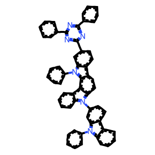 c1ccc(-c2nc(-c3ccccc3)nc(-c3ccc4c5ccc6c(c7ccccc7n6-c6ccc7c8ccccc8n(-c8ccccc8)c7c6)c5n(-c5ccccc5)c4c3)n2)cc1